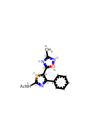 CC(=O)Nc1nc(-c2ccccc2)c(-c2nc(C)no2)s1